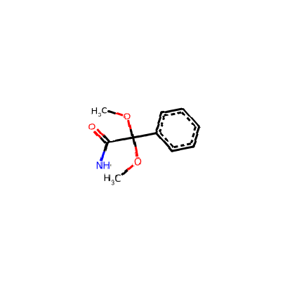 COC(OC)(C([NH])=O)c1ccccc1